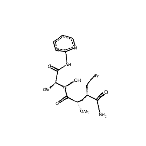 CO[C@H](C(=O)N(O)[C@H](C(=O)Nc1ccccn1)C(C)(C)C)[C@@H](CC(C)C)C(N)=O